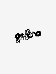 O=C(NCc1cccc(Br)c1)[C@@]1(O)CCN(Cc2ccccc2)C1=O